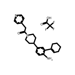 Nc1ccc(C2CCN(C(=O)Cc3ccncc3)CC2)cc1C1=CCCCC1.O=C(O)C(F)(F)F